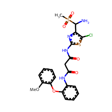 COc1ccccc1Oc1ccccc1NC(=O)CC(=O)Nc1nc(C(N)S(C)(=O)=O)c(Cl)s1